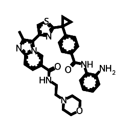 Cc1nc2ccc(C(=O)NCCN3CCOCC3)cn2c1-c1csc(C2(c3ccc(C(=O)Nc4ccccc4N)cc3)CC2)n1